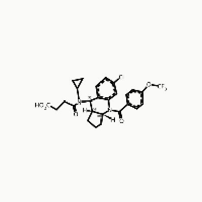 O=C(O)CCC(=O)N(C1CC1)[C@H]1c2ccc(Cl)cc2N(C(=O)c2ccc(OC(F)(F)F)cc2)[C@@H]2CCC[C@@H]21